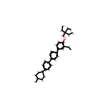 CCc1cc(-c2ccc(-c3ccc(C4CCC(C)CC4)cc3)cc2)ccc1OCC(CC)(CC)CC